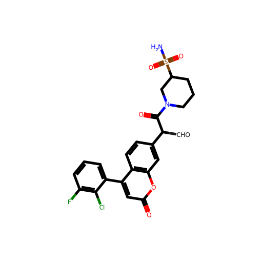 NS(=O)(=O)C1CCCN(C(=O)C(C=O)c2ccc3c(-c4cccc(F)c4Cl)cc(=O)oc3c2)C1